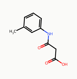 Cc1cccc(NC(=O)CC(=O)O)c1